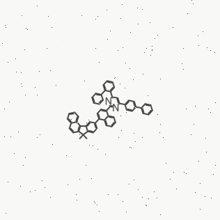 CC1(C)c2ccc(-c3ccc(-c4nc(-c5ccc(-c6ccccc6)cc5)cc(-c5ccccc5-c5ccccc5)n4)c4ccccc34)cc2-c2c1ccc1ccccc21